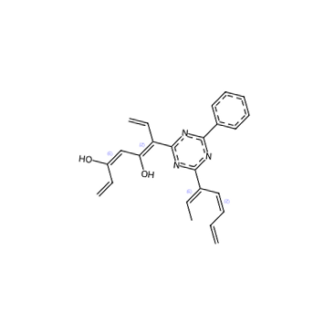 C=C/C=C\C(=C/C)c1nc(/C(C=C)=C(O)/C=C(/O)C=C)nc(-c2ccccc2)n1